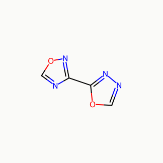 c1nc(-c2nnco2)no1